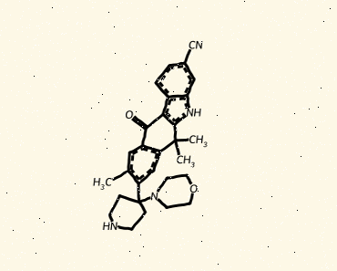 Cc1cc2c(cc1C1(N3CCOCC3)CCNCC1)C(C)(C)c1[nH]c3cc(C#N)ccc3c1C2=O